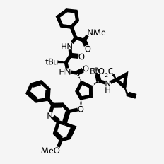 C=C[C@@H]1C[C@]1(NC(=O)[C@@H]1C[C@H](Oc2cc(-c3ccccc3)nc3cc(OC)ccc23)C[C@@H]1C(=O)N[C@H](C(=O)NC(C(=O)NC)C1CCCCC1)C(C)(C)C)C(=O)OCC